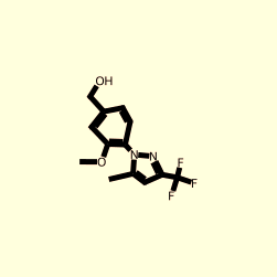 COc1cc(CO)ccc1-n1nc(C(F)(F)F)cc1C